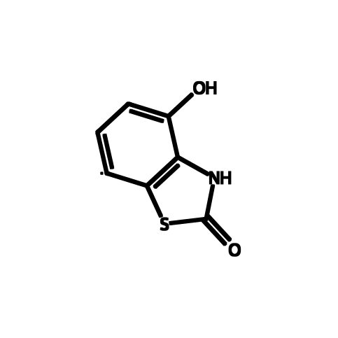 O=c1[nH]c2c(O)cc[c]c2s1